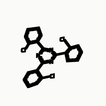 Clc1ccccc1-c1nc(-c2ccccc2Cl)nc(-c2ccccc2Cl)n1